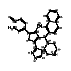 C=N/C=C\C(=C/N)c1sc(-c2nnc[nH]2)c(C(c2ccc3ccccc3c2)N2CCNCC2)c1C#N